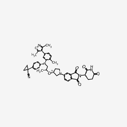 Cc1ccc(-c2c(C)noc2C)cc1N(CC(C)O[C@H]1CCN(c2ccc3c(c2)C(=O)N(C2CCC(=O)NC2=O)C3=O)C1)c1ccc(C2(C#N)CC2)cc1